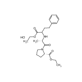 CCOC(=O)C(CCc1ccccc1)N[C@@H](C)C(=O)N1CCC[C@H]1C(=O)OCC.Cl